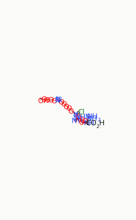 CC(O)CCOCCOCCOCCOCCn1cc(COCCOCCOCCOCCOCCCCn2c(CN3C(=O)C4(CCN(C(=O)OC(C)(C)CC(=O)N[C@@H](CCCNC(=N)N)C(=O)O)CC4)c4ccncc43)nc3cc(Cl)ccc32)nn1